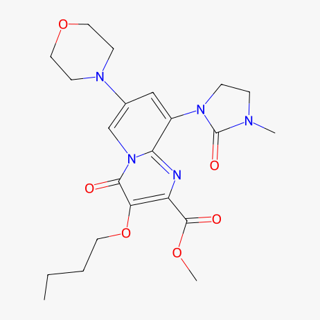 CCCCOc1c(C(=O)OC)nc2c(N3CCN(C)C3=O)cc(N3CCOCC3)cn2c1=O